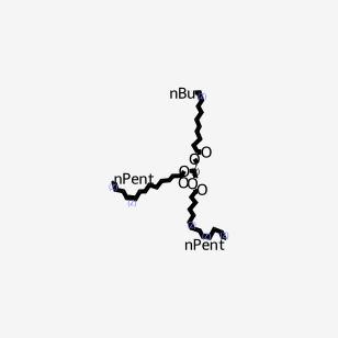 CCCC/C=C\CCCCCCCC(=O)OC[C@H](COC(=O)CCCC/C=C\C/C=C\C/C=C\CCCCC)OC(=O)CCCCCCC/C=C\C/C=C\CCCCC